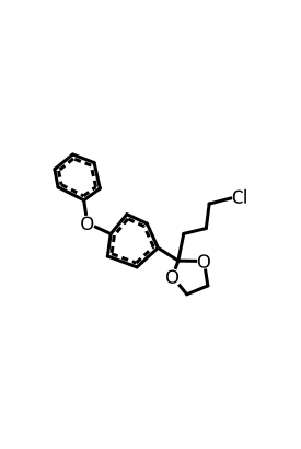 ClCCCC1(c2ccc(Oc3ccccc3)cc2)OCCO1